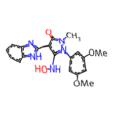 COc1cc(OC)cc(-n2c(NO)c(-c3nc4ccccc4[nH]3)c(=O)n2C)c1